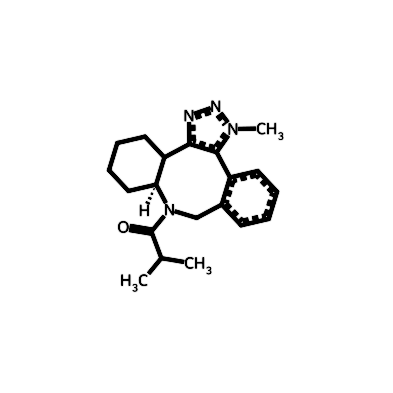 CC(C)C(=O)N1Cc2ccccc2-c2c(nnn2C)C2CCCC[C@@H]21